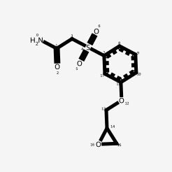 NC(=O)CS(=O)(=O)c1cccc(OCC2CO2)c1